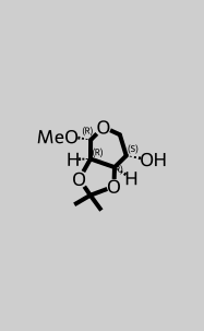 CO[C@@H]1OC[C@H](O)[C@H]2OC(C)(C)O[C@@H]12